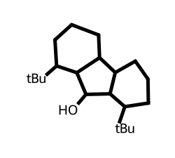 CC(C)(C)C1CCCC2C3CCCC(C(C)(C)C)C3C(O)C21